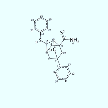 NC(=S)C12CC3CC(c4ccccc4)(CC1C3Sc1ccccc1)C2